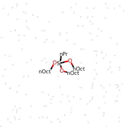 [CH2]CC[Si](OCCCCCCCC)(OCCCCCCCC)OCCCCCCCC